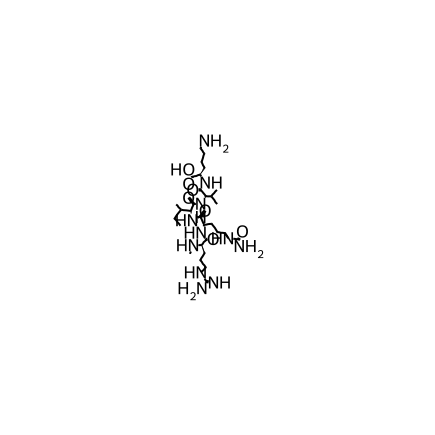 CCC(C)[C@@H](NC(=O)C(CCCNC(N)=O)NC(=O)[C@@H](CCCNC(=N)N)NC)C(=O)N[C@@H](C(=O)N[C@H](CCCCN)C(=O)O)C(C)C